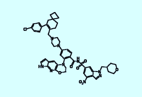 O=C(NS(=O)(=O)c1cc([N+](=O)[O-])c2cnn(CC3CCOCC3)c2c1)c1ccc(N2CCN(CC3=C(c4ccc(Cl)cc4)CC4(CCC4)CC3)CC2)cc1N1CCOc2nc3[nH]ccc3cc21